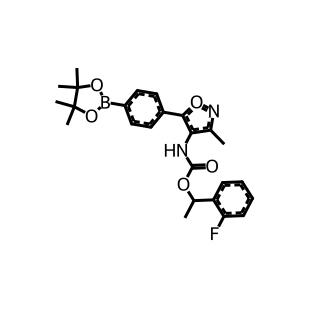 Cc1noc(-c2ccc(B3OC(C)(C)C(C)(C)O3)cc2)c1NC(=O)OC(C)c1ccccc1F